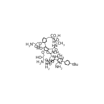 Cc1nc(-c2ccc(C(C)(C)C)cc2)nc(CN)c1C(=O)N[C@@H](CNS(N)(=O)=O)C(=O)N(C)[C@@H]1C(=O)N[C@@H](C)C(=O)N[C@H](C(=O)O)Cc2ccc(OC[C@H](O)CN)c(c2)-c2cc1cc(OC[C@H](O)CN)c2O